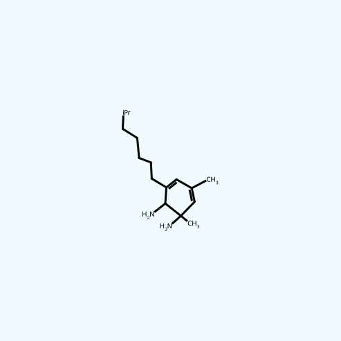 CC1=CC(C)(N)C(N)C(CCCCCC(C)C)=C1